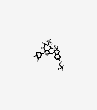 CS(=O)(=O)CC(=O)Nc1c2c(nn1-c1ccc(F)c(F)c1)C[C@]1(NC2=O)c2ccc(OCC(F)(F)F)cc2CC1(F)F